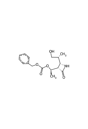 C[C@@H](CO)[C@@H]1NC(=O)[C@@H]1[C@@H](C)OC(=O)OCc1ccccc1